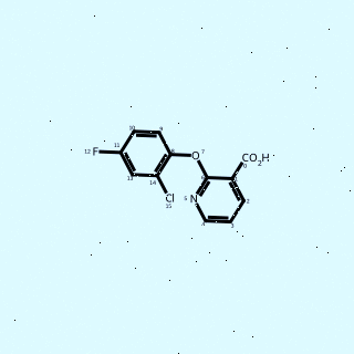 O=C(O)c1cccnc1Oc1ccc(F)cc1Cl